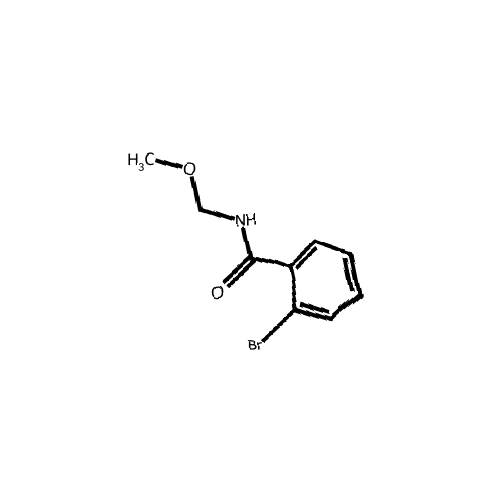 COCNC(=O)c1ccccc1Br